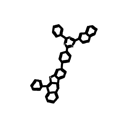 c1ccc(-c2nc(-c3ccc(-c4ccc5c(c4)oc4c(-c6ccccc6)c6ccccc6cc45)cc3)nc(-c3ccc4ccccc4c3)n2)cc1